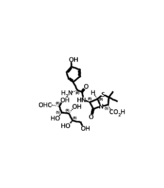 CC1(C)S[C@@H]2[C@H](NC(=O)[C@H](N)c3ccc(O)cc3)C(=O)N2[C@H]1C(=O)O.O=C[C@H](O)[C@@H](O)[C@H](O)[C@H](O)CO